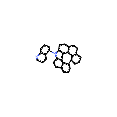 c1cc2c3c(c1)ccc1ccc4c(c13)c1c3c-2cccc3ccc1n4-c1cccc2ncccc12